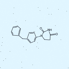 O=C1CCN(c2ccc(Cc3ccccc3)cc2)C(=O)N1